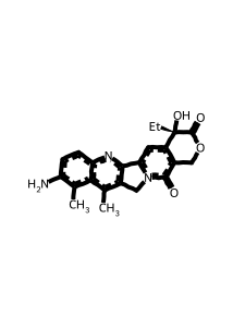 CC[C@@]1(O)C(=O)OCc2c1cc1n(c2=O)Cc2c-1nc1ccc(N)c(C)c1c2C